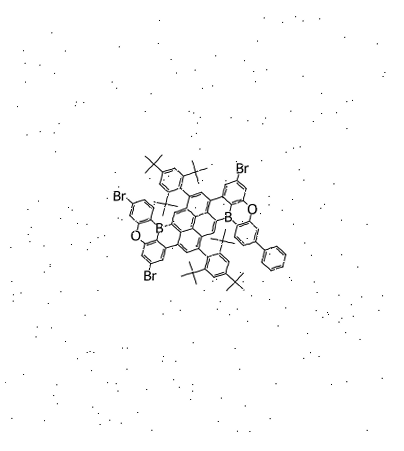 CC(C)(C)c1cc(C(C)(C)C)c(-c2cc3c4c(cc5c(-c6c(C(C)(C)C)cc(C(C)(C)C)cc6C(C)(C)C)cc6c7c(cc2c4c57)B2c4ccc(-c5ccccc5)cc4Oc4cc(Br)cc-6c42)B2c4ccc(Br)cc4Oc4cc(Br)cc-3c42)c(C(C)(C)C)c1